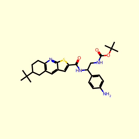 CC(C)(C)OC(=O)NCC(NC(=O)c1cc2cc3c(nc2s1)CCC(C(C)(C)C)C3)c1ccc(N)cc1